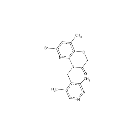 Cc1cnnc(C)c1CN1C(=O)COc2c(C)cc(Br)nc21